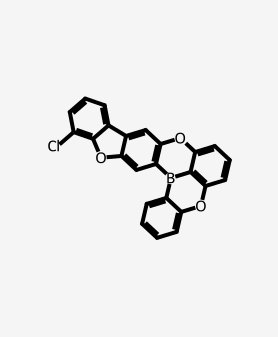 Clc1cccc2c1oc1cc3c(cc12)Oc1cccc2c1B3c1ccccc1O2